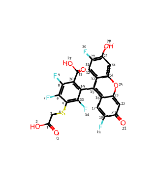 O=C(O)CSc1c(F)c(F)c(C(=O)O)c(-c2c3cc(F)c(=O)cc-3oc3cc(O)c(F)cc23)c1F